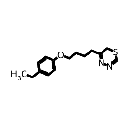 CCc1ccc(OCCCCC2=NN=CSC2)cc1